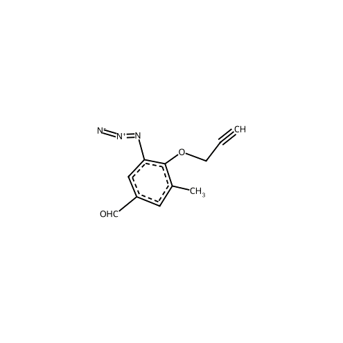 C#CCOc1c(C)cc(C=O)cc1N=[N+]=[N-]